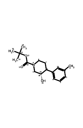 Cc1cccc(C2CCN(C(=O)OC(C)(C)C)C[C@H]2O)c1